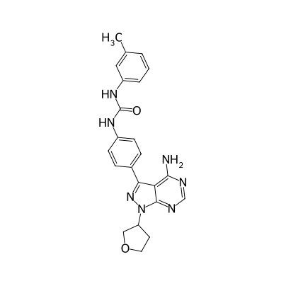 Cc1cccc(NC(=O)Nc2ccc(-c3nn(C4CCOC4)c4ncnc(N)c34)cc2)c1